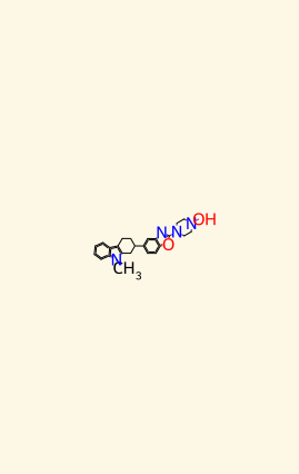 Cn1c2c(c3ccccc31)CCC(c1ccc3oc(N4CCN(O)CC4)nc3c1)C2